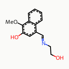 COc1c(O)cc(/C=N/CCO)c2ccccc12